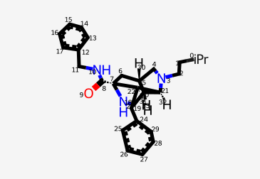 CC(C)CCN1C[C@H]2C[C@]3(C(=O)NCc4ccccc4)NC[C@H]2[C@H]1[C@H]3Cc1ccccc1